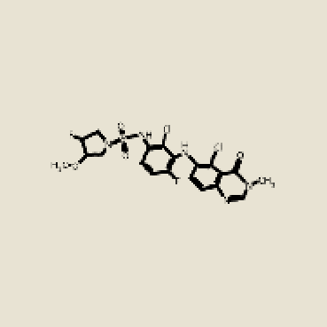 COC1CN(S(=O)(=O)Nc2ccc(F)c(Nc3ccc4ncn(C)c(=O)c4c3Cl)c2Cl)CC1F